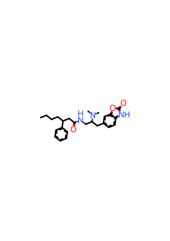 CCCCC(CC(=O)NCC(Cc1ccc2[nH]c(=O)oc2c1)N(C)C)c1ccccc1